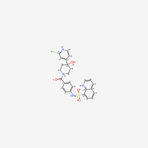 O=C(c1ccc(NS(=O)(=O)c2cccc3cccnc23)cc1)N1CCC(O)(c2ccnc(F)c2)CC1